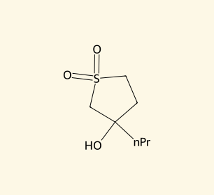 CCCC1(O)CCS(=O)(=O)C1